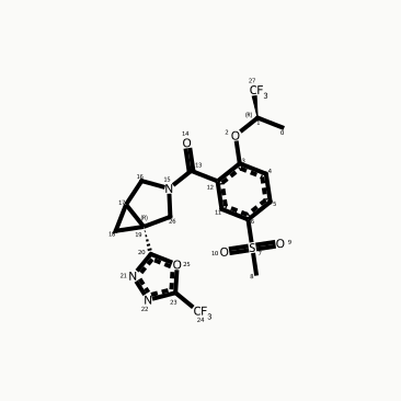 C[C@@H](Oc1ccc(S(C)(=O)=O)cc1C(=O)N1CC2C[C@]2(c2nnc(C(F)(F)F)o2)C1)C(F)(F)F